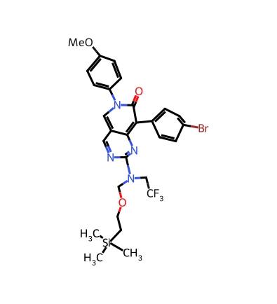 COc1ccc(-n2cc3cnc(N(COCC[Si](C)(C)C)CC(F)(F)F)nc3c(-c3ccc(Br)cc3)c2=O)cc1